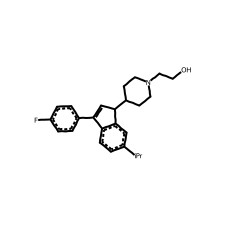 CC(C)c1ccc2c(c1)C(C1CCN(CCO)CC1)C=C2c1ccc(F)cc1